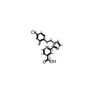 Cc1cc(Cl)ccc1CCn1ccnc1-c1cc(C(=O)O)ccn1